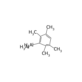 Cc1cc(C)c(C)[c]([AlH2])c1C.[AlH3]